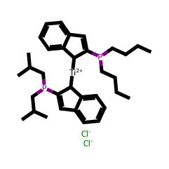 CCCCP(CCCC)C1=Cc2ccccc2[CH]1[Ti+2][CH]1C(P(CC(C)C)CC(C)C)=Cc2ccccc21.[Cl-].[Cl-]